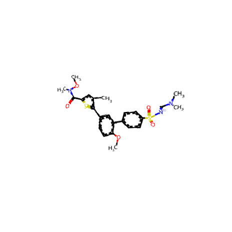 COc1ccc(-c2sc(C(=O)N(C)OC)cc2C)cc1-c1ccc(S(=O)(=O)/N=C/N(C)C)cc1